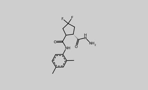 Cc1ccc(NC(=O)C2CC(F)(F)C[C@@H]2C(=O)NN)c(C)c1